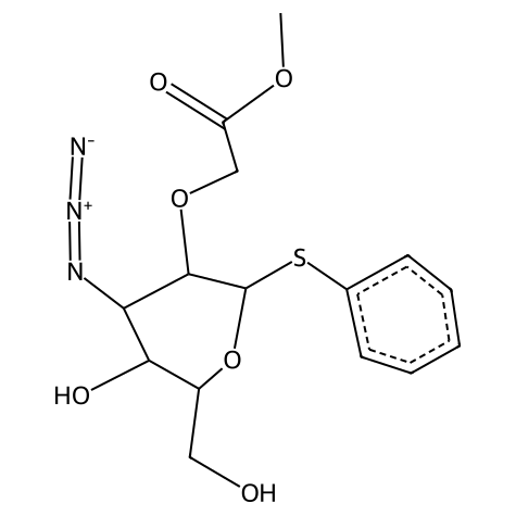 COC(=O)COC1C(Sc2ccccc2)OC(CO)C(O)C1N=[N+]=[N-]